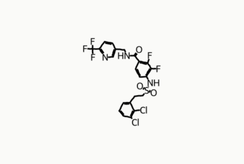 O=C(NCc1ccc(C(F)(F)F)nc1)c1ccc(NS(=O)(=O)CCc2cccc(Cl)c2Cl)c(F)c1F